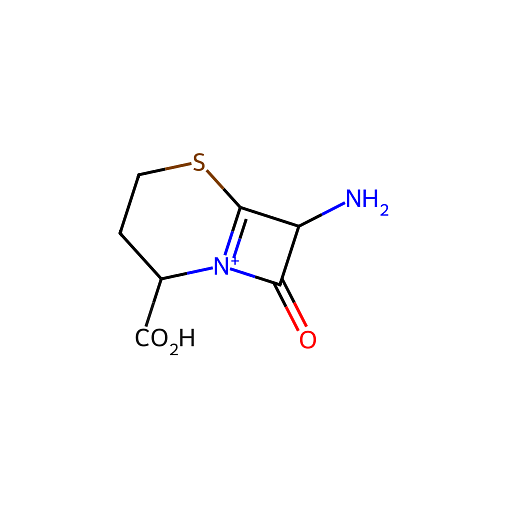 NC1C(=O)[N+]2=C1SCCC2C(=O)O